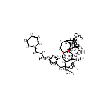 C=C1C(=O)[C@@]23C(CCC1[C@H]2O)[C@@]12CO[C@@]3(O)[C@@H](O)C1C(C)(C)Cc1sc(NCCN3CCCCC3)nc12